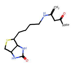 C=C(CC(=O)NC)NCCCCC1SCC2NC(=O)NC21